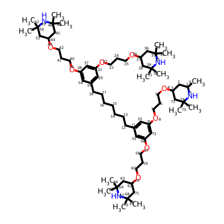 CC1CC(OCCCOc2cc(CCCCCCCc3cc(OCCCOC4CC(C)(C)NC(C)(C)C4)cc(OCCCOC4CC(C)(C)NC(C)(C)C4)c3)cc(OCCCOC3CC(C)(C)NC(C)(C)C3)c2)CC(C)(C)N1